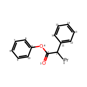 CC(C)C(C(=O)Oc1ccccc1)c1ccccc1